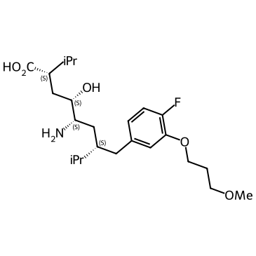 COCCCOc1cc(C[C@@H](C[C@H](N)[C@@H](O)C[C@H](C(=O)O)C(C)C)C(C)C)ccc1F